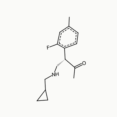 CC(=O)[C@H](CNCC1CC1)c1ccc(C)cc1F